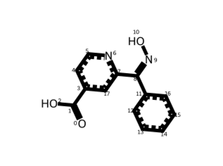 O=C(O)c1ccnc(/C(=N\O)c2ccccc2)c1